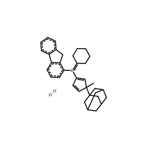 CC1(C23CC4CC(CC(C4)C2)C3)C=C[C]([Zr+2](=[C]2CCCCC2)[c]2cccc3c2Cc2ccccc2-3)=C1.[Cl-].[Cl-]